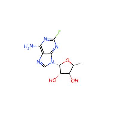 C[C@H]1O[C@@H](n2cnc3c(N)nc(F)nc32)[C@@H](O)[C@H]1O